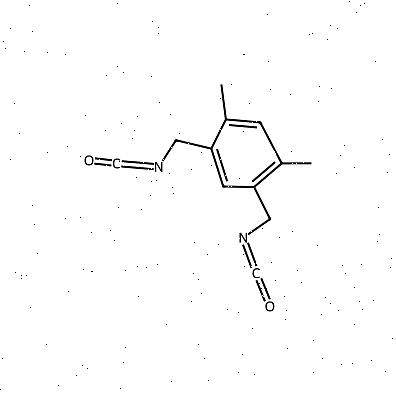 Cc1cc(C)c(CN=C=O)cc1CN=C=O